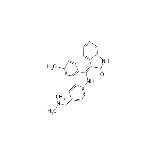 Cc1ccc(/C(Nc2ccc(CN(C)C)cc2)=C2/C(=O)Nc3ccccc32)cc1